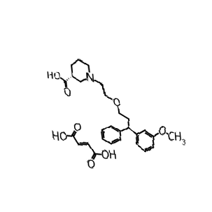 COc1cccc(C(CCOCCN2CCC[C@@H](C(=O)O)C2)c2ccccc2)c1.O=C(O)C=CC(=O)O